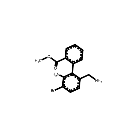 COC(=O)c1ccccc1-c1c(CN)ccc(Br)c1N